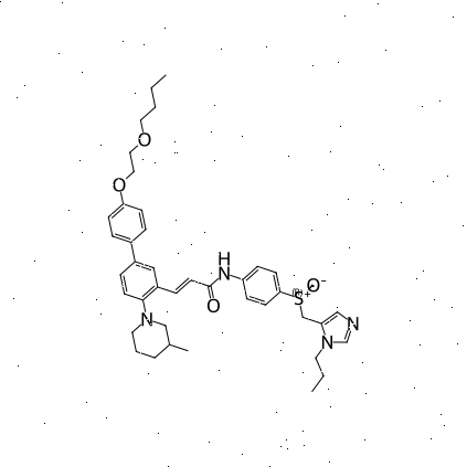 CCCCOCCOc1ccc(-c2ccc(N3CCCC(C)C3)c(C=CC(=O)Nc3ccc([S@@+]([O-])Cc4cncn4CCC)cc3)c2)cc1